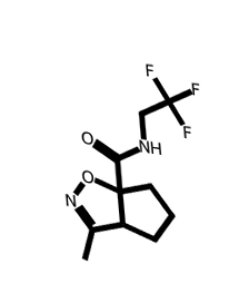 CC1=NOC2(C(=O)NCC(F)(F)F)CCCC12